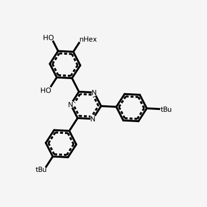 CCCCCCc1cc(-c2nc(-c3ccc(C(C)(C)C)cc3)nc(-c3ccc(C(C)(C)C)cc3)n2)c(O)cc1O